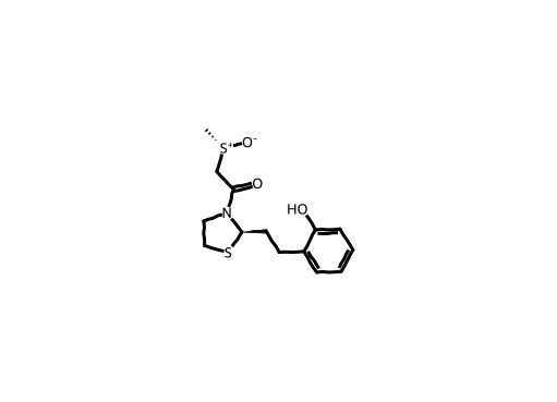 C[S@+]([O-])CC(=O)N1CCS[C@@H]1CCc1ccccc1O